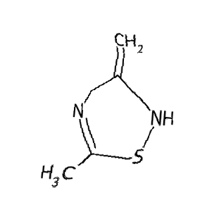 C=C1N=C(C)SN1